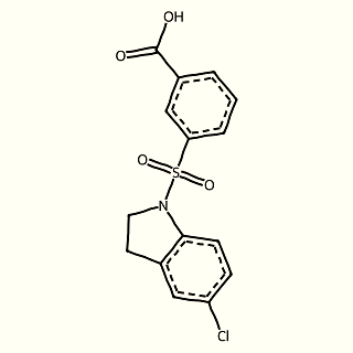 O=C(O)c1cccc(S(=O)(=O)N2CCc3cc(Cl)ccc32)c1